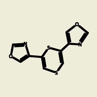 C1=C(c2cocn2)SC(c2cocn2)=CS1